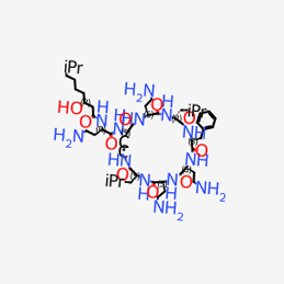 CC(C)CCCC[C@@H](O)CC(=O)N[C@H](CCN)C(=O)N[C@H]1CCNC(=O)[C@H](CC(C)C)NC(=O)[C@H](CCN)NC(=O)[C@H](CCN)NC(=O)[C@H](Cc2ccccc2)NC(=O)[C@@H](CC(C)C)NC(=O)[C@H](CCN)NC1=O